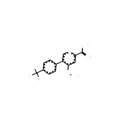 C=C(O)c1cc(OC)c(-c2ccc(C(F)(F)F)cc2)cn1